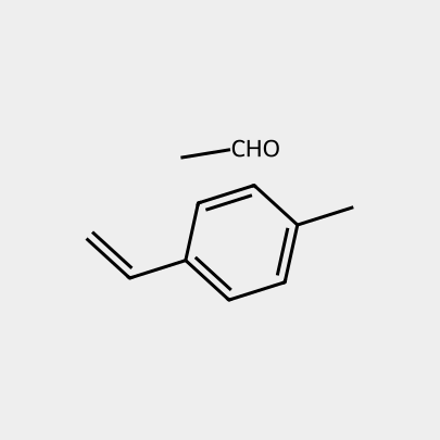 C=Cc1ccc(C)cc1.CC=O